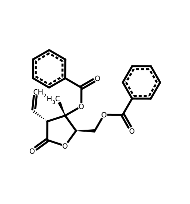 C=C[C@H]1C(=O)O[C@H](COC(=O)c2ccccc2)[C@@]1(C)OC(=O)c1ccccc1